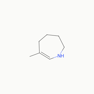 CC1=CNCCCC1